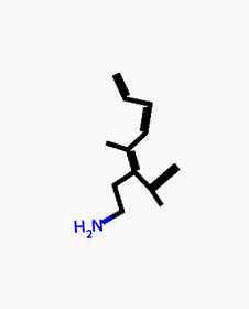 C=C/C=C\C(C)=C(\CCN)C(=C)C